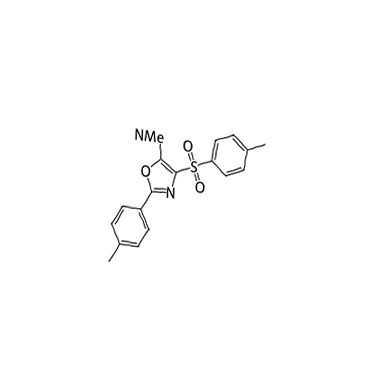 CNc1oc(-c2ccc(C)cc2)nc1S(=O)(=O)c1ccc(C)cc1